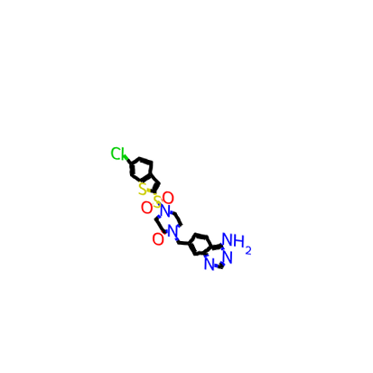 Nc1ncnc2cc(CN3CCN(S(=O)(=O)c4cc5ccc(Cl)cc5s4)CC3=O)ccc12